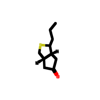 CCCC1SC[C@H]2CC(=O)C[C@@H]12